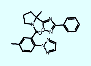 Cc1ccc(-n2nccn2)c(C(=O)N2CCCC2(C)c2nc(-c3ccccc3)no2)c1